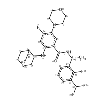 C[C@@H](NC(=O)c1cc(N2CCOCC2)c(F)cc1NC1CN2CCC1CC2)c1cccc(C(F)F)c1F